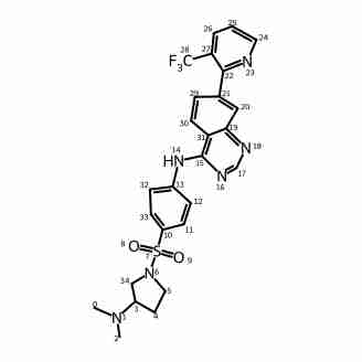 CN(C)C1CCN(S(=O)(=O)c2ccc(Nc3ncnc4cc(-c5ncccc5C(F)(F)F)ccc34)cc2)C1